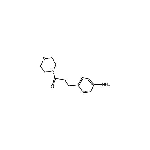 Nc1ccc(CCC(=O)N2CCSCC2)cc1